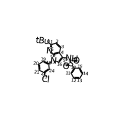 CC(C)(C)c1ccc2c(NS(=O)(=O)c3ccccc3)cn(-c3cccc(Cl)c3)c2n1